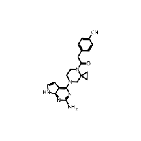 N#Cc1ccc(CC(=O)N2CCN(c3nc(N)nc4[nH]ccc34)CC23CC3)cc1